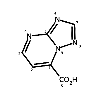 O=C(O)c1ccnc2ncnn12